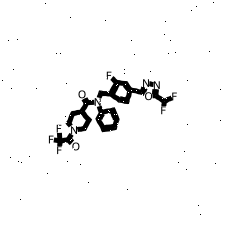 O=C(C1CCN(C(=O)C(F)(F)F)CC1)N(Cc1ccc(-c2nnc(C(F)F)o2)cc1F)c1ccccc1